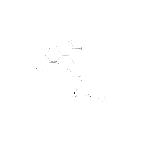 COc1ccc2ncc(F)c(CCN3C[C@H](CNC(=O)O)[C@@H](O)C3)c2n1